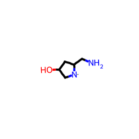 NCC1CC(O)C[N]1